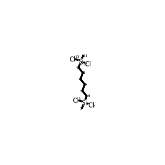 C[Si](Cl)(Cl)CCCCCC[Si](C)(Cl)Cl